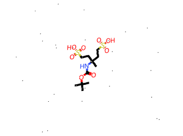 CC(CCS(=O)(=O)O)(CCS(=O)(=O)O)NC(=O)OC(C)(C)C